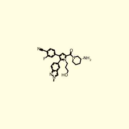 Cn1cc2cc(-c3c(-c4ccc(C#N)c(F)c4)cc(C(=O)N4CCC[C@@H](N)C4)n3CCCO)ccc2n1